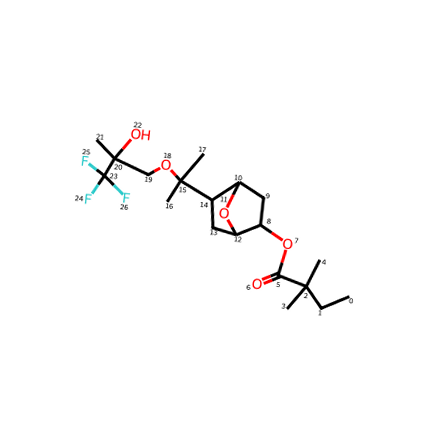 CCC(C)(C)C(=O)OC1CC2OC1CC2C(C)(C)OCC(C)(O)C(F)(F)F